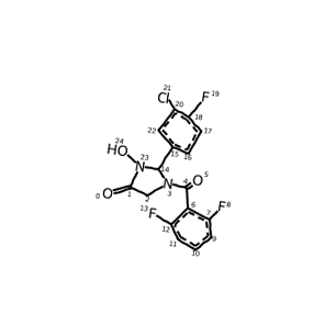 O=C1CN(C(=O)c2c(F)cccc2F)C(c2ccc(F)c(Cl)c2)N1O